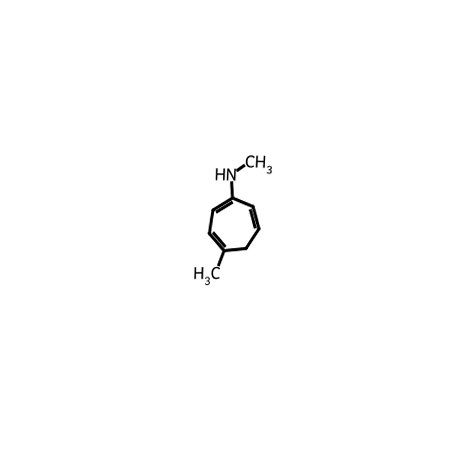 CNC1=CC=C(C)CC=C1